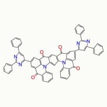 O=c1c2ccccc2n2c3cc4c(cc3c(=O)c3cc(-c5cc(-c6ccccc6)nc(-c6ccccc6)n5)cc1c32)c(=O)c1cc(-c2cc(-c3ccccc3)nc(-c3ccccc3)n2)cc2c(=O)c3ccccc3n4c21